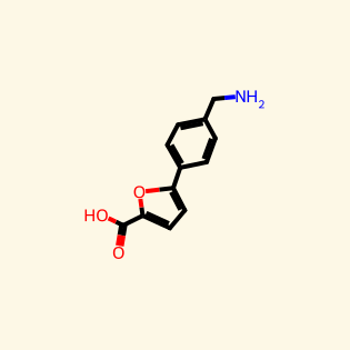 NCc1ccc(-c2ccc(C(=O)O)o2)cc1